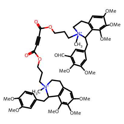 COc1ccc(CC2c3c(cc(OC)c(OC)c3OC)CC[N+]2(C)CCCOC(=O)C#CC(=O)OCCC[N+]2(C)CCc3cc(OC)c(OC)c(OC)c3C2Cc2cc(C=O)c(OC)c(OC)c2)cc1OC